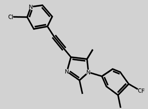 Cc1cc(-n2c(C)nc(C#Cc3ccnc(Cl)c3)c2C)ccc1C(F)(F)F